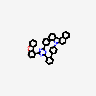 c1ccc(-c2nc(-c3ccccc3-c3ccc(-n4c5ccccc5c5c6ccccc6ccc54)cc3)nc(-c3cccc4oc5ccccc5c34)n2)cc1